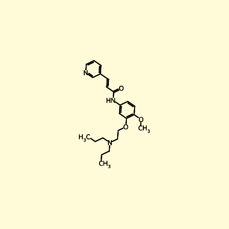 CCCN(CCC)CCOc1cc(NC(=O)C=Cc2cccnc2)ccc1OC